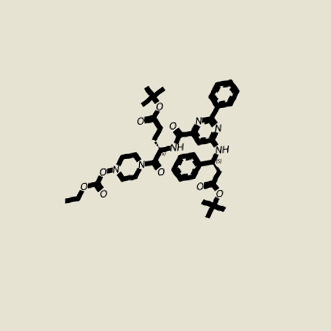 CCOC(=O)ON1CCN(C(=O)[C@H](CCC(=O)OC(C)(C)C)NC(=O)c2cc(N[C@@H](CC(=O)OC(C)(C)C)c3ccccc3)nc(-c3ccccc3)n2)CC1